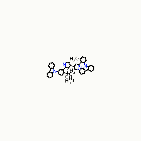 Cc1cccc(-n2c3ccccc3c3ccccc32)c1-c1cc(-c2ccnc(-c3cc(-n4c5ccccc5c5ccccc54)ccc3C(C)(C)C)c2)ccn1